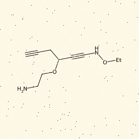 C#CCC(C#CNOCC)OCCN